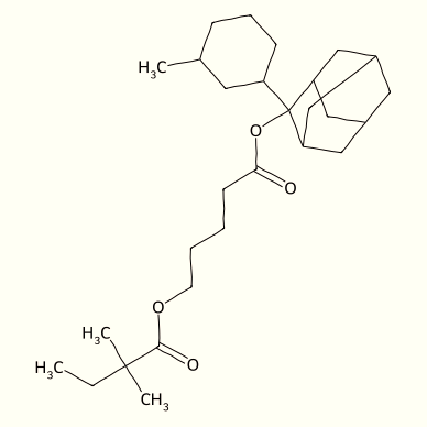 CCC(C)(C)C(=O)OCCCCC(=O)OC1(C2CCCC(C)C2)C2CC3CC(C2)CC1C3